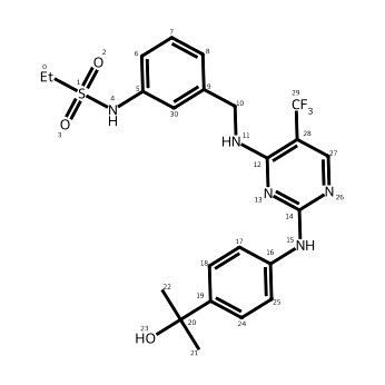 CCS(=O)(=O)Nc1cccc(CNc2nc(Nc3ccc(C(C)(C)O)cc3)ncc2C(F)(F)F)c1